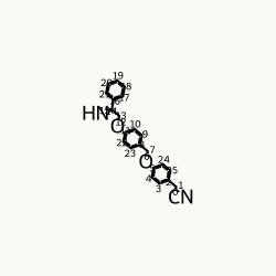 N#CCc1ccc(OCc2ccc(OCC(=N)c3ccccc3)cc2)cc1